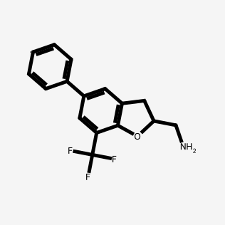 NCC1Cc2cc(-c3cc[c]cc3)cc(C(F)(F)F)c2O1